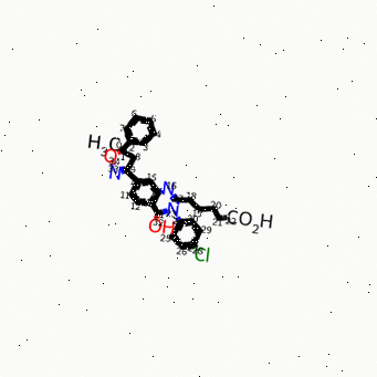 CC1(c2ccccc2)CC(c2ccc3c(c2)N=C(CCCCC(=O)O)N(c2ccc(Cl)cc2)C3O)=NO1